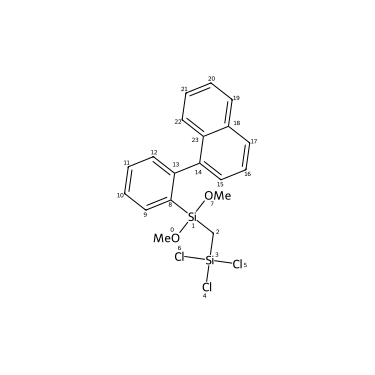 CO[Si](C[Si](Cl)(Cl)Cl)(OC)c1ccccc1-c1cccc2ccccc12